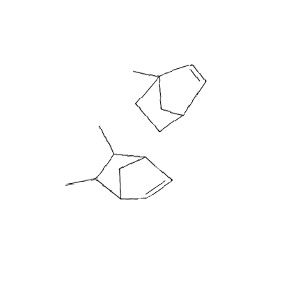 CC12C=CC(CC1)C2.CC1C2C=CC(C2)C1C